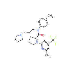 Cc1ccc(N(CCCN2CCCC2)C(=O)[C@@H]2CCCN2c2cc(C(F)(F)F)cc(C)n2)cc1